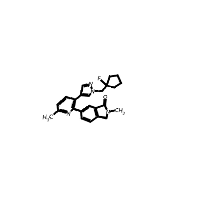 Cc1ccc(-c2cnn(CC3(F)CCCC3)c2)c(-c2ccc3c(c2)C(=O)N(C)C3)n1